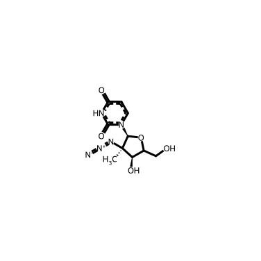 C[C@@]1(N=[N+]=[N-])[C@H](O)C(CO)O[C@@H]1n1ccc(=O)[nH]c1=O